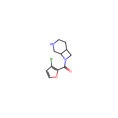 O=C(c1occc1Br)N1CC2CCNCC21